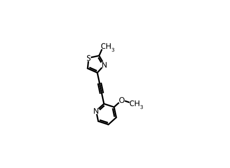 COc1cccnc1C#Cc1csc(C)n1